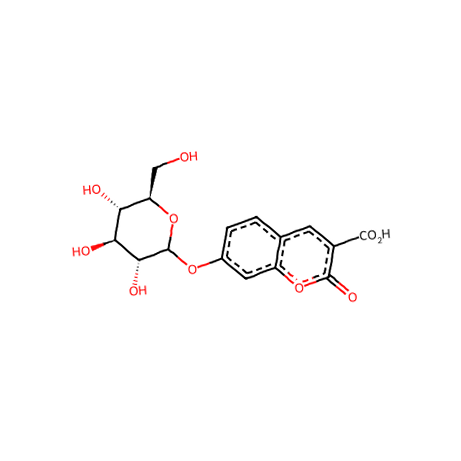 O=C(O)c1cc2ccc(OC3O[C@H](CO)[C@@H](O)[C@H](O)[C@H]3O)cc2oc1=O